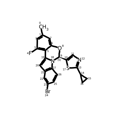 Cc1cc(F)c2c(c1)O[C@@H](c1cnc(C3CC3)s1)n1c-2cc2cc(Br)ccc21